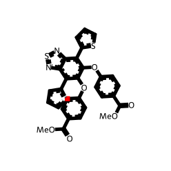 COC(=O)c1ccc(Oc2c(Oc3ccc(C(=O)OC)cc3)c(-c3cccs3)c3nsnc3c2-c2cccs2)cc1